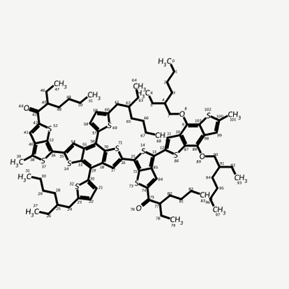 CCCCC(CC)COc1c2cc(-c3sc(-c4cc5c(-c6ccc(CC(CC)CCCC)s6)c6sc(-c7sc(C)c8cc(C(=O)C(CC)CCCC)sc78)cc6c(-c6ccc(CC(CC)CCCC)s6)c5s4)c4sc(C(=O)C(CC)CCCC)cc34)sc2c(OCC(CC)CCCC)c2cc(C)sc12